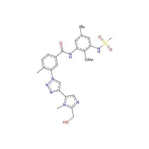 COc1c(NC(=O)c2ccc(C)c(-n3cc(-c4cnc(CO)n4C)nn3)c2)cc(C(C)(C)C)cc1NS(C)(=O)=O